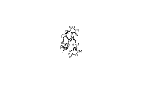 CC1CCN(CCCN2c3ccccc3Oc3ccc(C(F)(F)F)cc32)CC1